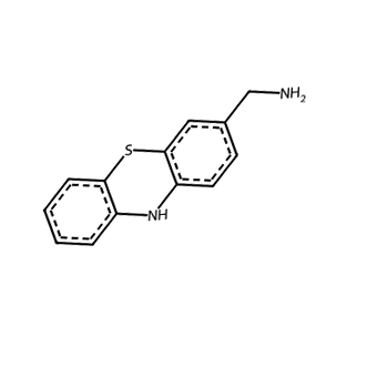 NCc1ccc2c(c1)Sc1ccccc1N2